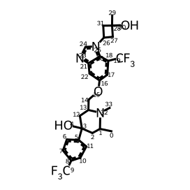 CC1CC(O)(c2ccc(C(F)(F)F)cc2)CC(COc2cc(C(F)(F)F)c3c(c2)ncn3C2CC(C)(O)C2)N1C